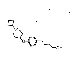 OCCCCc1ccc(OC2CCN(C3CCC3)CC2)cc1